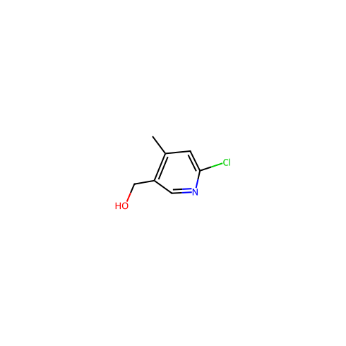 Cc1cc(Cl)ncc1CO